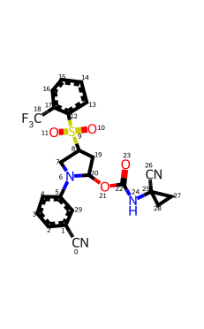 N#Cc1cccc(N2CC(S(=O)(=O)c3ccccc3C(F)(F)F)CC2OC(=O)NC2(C#N)CC2)c1